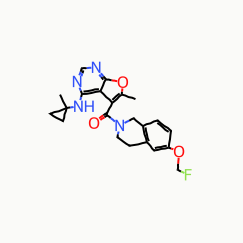 Cc1oc2ncnc(NC3(C)CC3)c2c1C(=O)N1CCc2cc(OCF)ccc2C1